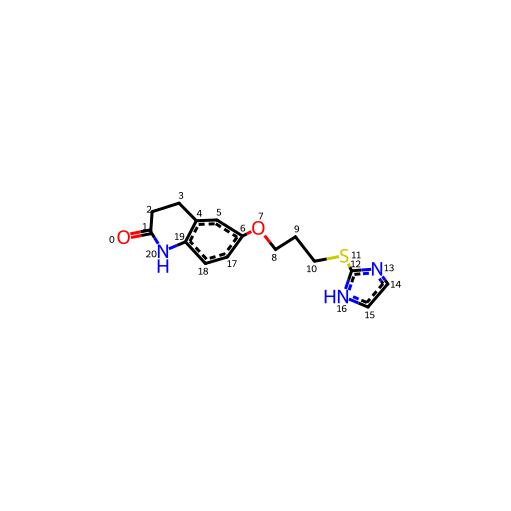 O=C1CCc2cc(OCCCSc3ncc[nH]3)ccc2N1